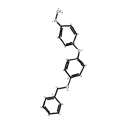 COc1ccc(Oc2[c]cc(OCc3ccccc3)cc2)cc1